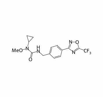 CON(C(=O)NCc1ccc(-c2noc(C(F)(F)F)n2)cc1)C1CC1